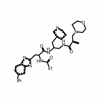 C=C(CN1CCOCC1)C(=O)NCC(Cc1cccnc1)NC(=O)C(Cc1nc2ccc(C(C)C)cc2s1)NC(=O)CC